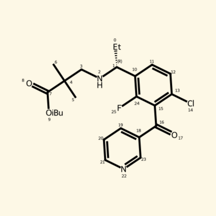 CC[C@@H](NCC(C)(C)C(=O)OCC(C)C)c1ccc(Cl)c(C(=O)c2cccnc2)c1F